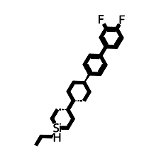 CCC[Si@H]1CC[C@H]([C@H]2CC[C@H](c3ccc(-c4ccc(F)c(F)c4)cc3)CC2)CC1